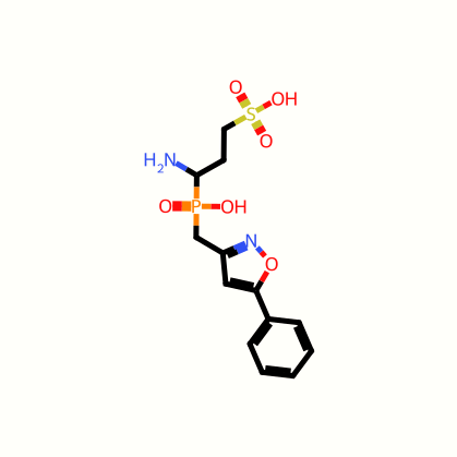 NC(CCS(=O)(=O)O)P(=O)(O)Cc1cc(-c2ccccc2)on1